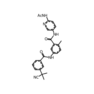 CC(=O)Nc1ccc(NC(=O)c2cc(NC(=O)c3cccc(C(C)(C)C#N)c3)ccc2C)cn1